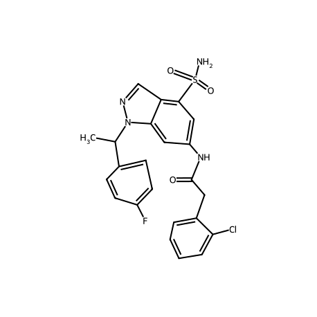 CC(c1ccc(F)cc1)n1ncc2c(S(N)(=O)=O)cc(NC(=O)Cc3ccccc3Cl)cc21